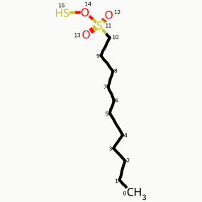 CCCCCCCCCCCS(=O)(=O)OS